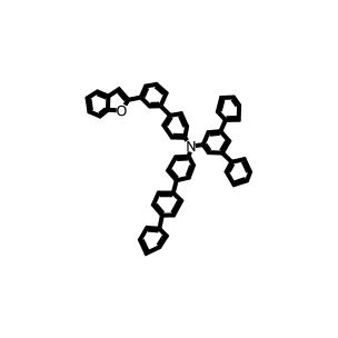 c1ccc(-c2ccc(-c3ccc(N(c4ccc(-c5cccc(-c6cc7ccccc7o6)c5)cc4)c4cc(-c5ccccc5)cc(-c5ccccc5)c4)cc3)cc2)cc1